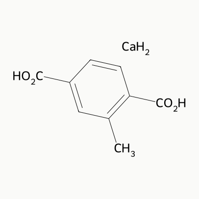 Cc1cc(C(=O)O)ccc1C(=O)O.[CaH2]